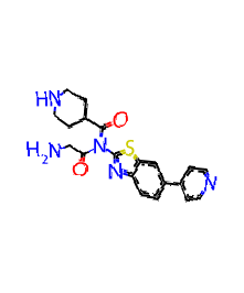 NCC(=O)N(C(=O)C1CCNCC1)c1nc2ccc(-c3ccncc3)cc2s1